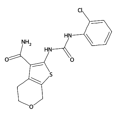 NC(=O)c1c(NC(=O)Nc2ccccc2Cl)sc2c1CCOC2